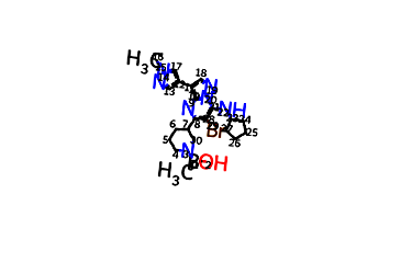 CB(O)N1CCCC(c2nc3c(-c4cnn(C)c4)cnn3c(NC3CCCC3)c2Br)C1